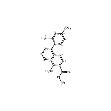 CCCNC(=O)c1nnc2c(-c3ccc(OC)cc3C)cccc2c1N